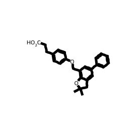 CC1(C)Cc2cc(-c3ccccc3)cc(COc3ccc(CCC(=O)O)cc3)c2O1